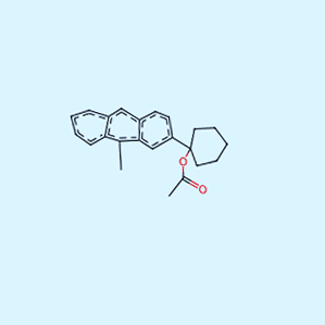 CC(=O)OC1(c2ccc3cc4ccccc4c(C)c3c2)CCCCC1